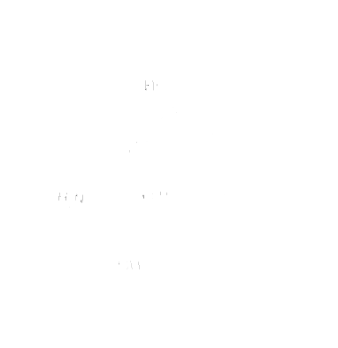 CCCCCC(=O)O.NC(=O)O